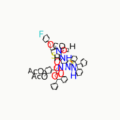 CC(=O)Oc1ccc([C@@H](O/N=C(\C(=O)N[C@@H]2C(=O)N3C(C(=O)O)=C(COc4ccc(F)cc4)CS[C@@H]23)c2csc(NC(c3ccccc3)(c3ccccc3)c3ccccc3)n2)C(=O)OC(c2ccccc2)c2ccccc2)cc1OC(C)=O